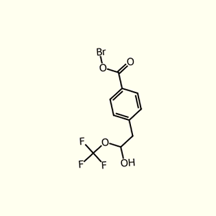 O=C(OBr)c1ccc(CC(O)OC(F)(F)F)cc1